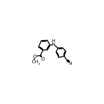 COC(=O)c1cccc(Nc2ccc(C#N)cc2)c1